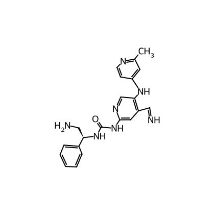 Cc1cc(Nc2cnc(NC(=O)N[C@H](CN)c3ccccc3)cc2C=N)ccn1